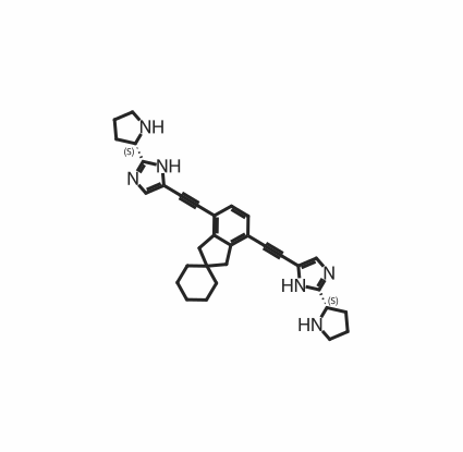 C(#Cc1ccc(C#Cc2cnc([C@@H]3CCCN3)[nH]2)c2c1CC1(CCCCC1)C2)c1cnc([C@@H]2CCCN2)[nH]1